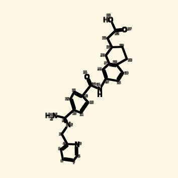 NC(=NCc1ccccn1)c1ccc(C(=O)Nc2ccc3c(c2)CC(CC(=O)O)CC3)cc1